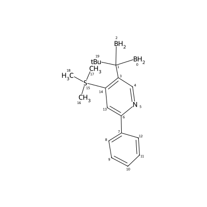 BC(B)(c1cnc(-c2ccccc2)cc1S(C)(C)C)C(C)(C)C